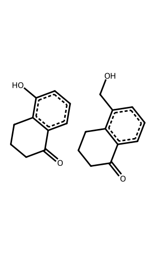 O=C1CCCc2c(CO)cccc21.O=C1CCCc2c(O)cccc21